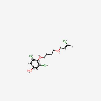 CC(Cl)=CCOCCCCOc1c(Cl)cc(O)cc1Cl